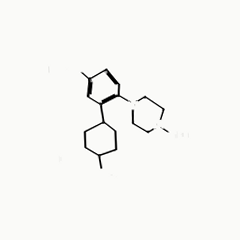 CCCCN1CCN(c2ccc(C(=O)OCC)cc2C2CCC(C(C)(C)C)CC2)CC1.Cl